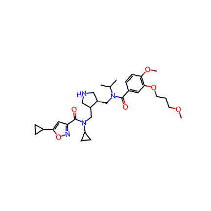 COCCCOc1cc(C(=O)N(C[C@@H]2CNCC2CN(C(=O)c2cc(C3CC3)on2)C2CC2)C(C)C)ccc1OC